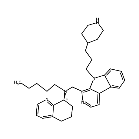 CCCCCN(Cc1nccc2c3ccccc3n(CCCC3CCNCC3)c12)[C@H]1CCCc2cccnc21